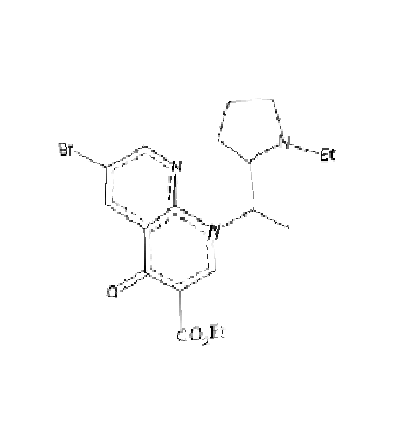 CCOC(=O)c1cn(C(C)C2CCCN2CC)c2ncc(Br)cc2c1=O